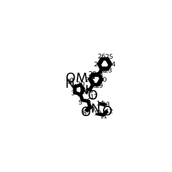 CO/N=C1/CC(CCC(=O)N2CCOCC2)N(C(=O)c2ccc(-c3ccccc3)cc2)C1